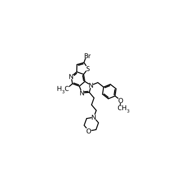 COc1ccc(Cn2c(CCCN3CCOCC3)nc3c(C)nc4cc(Br)sc4c32)cc1